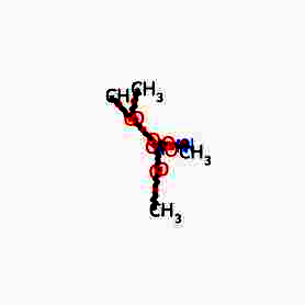 CCCCCCCCCCCOC(=O)CCCCCN1CC(OC(=O)CCn2ccnc2C)C[C@H]1C(=O)OCCCCCCCC(=O)OC(CCCCCCCC)CCCCCCCC